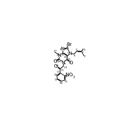 CC(C)=CCn1c(Br)nc2c1c(=O)n(CC(=O)c1ccccc1[N+](=O)[O-])c(=O)n2C